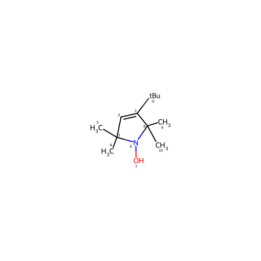 CC(C)(C)C1=CC(C)(C)N(O)C1(C)C